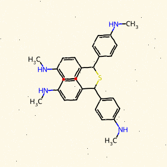 CNc1ccc(C(SC(c2ccc(NC)cc2)c2ccc(NC)cc2)c2ccc(NC)cc2)cc1